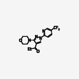 CCC(=O)c1cn(-c2ccc(C(F)(F)F)cn2)nc1N1CCOCC1